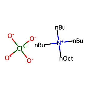 CCCCCCCC[N+](CCCC)(CCCC)CCCC.[O-][Cl+3]([O-])([O-])[O-]